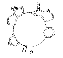 O=C1CCc2cccc(c2)-c2ccnc3[nH]c(nc23)-c2n[nH]c3ccc(cc23)-c2cncc(c2)N1